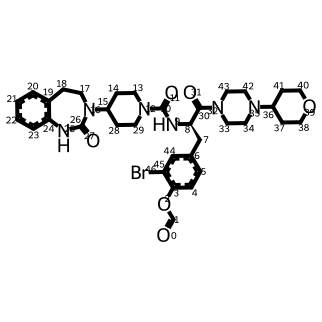 O=COc1ccc(C[C@@H](NC(=O)N2CCC(N3CCc4ccccc4NC3=O)CC2)C(=O)N2CCN(C3CCOCC3)CC2)cc1Br